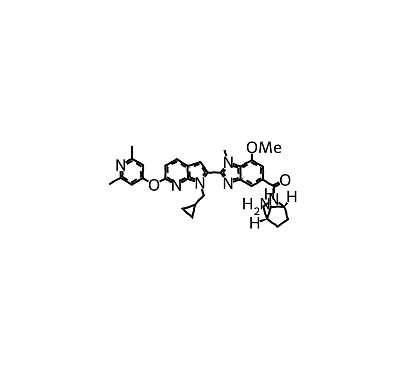 COc1cc(C(=O)N2C[C@H]3CC[C@@H]2[C@@H]3N)cc2nc(-c3cc4ccc(Oc5cc(C)nc(C)c5)nc4n3CC3CC3)n(C)c12